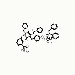 NC(=O)c1cccc(CN2C(=O)N(Cc3ccc(OCP(=O)(O)OC(Cc4ccccc4)c4ccccc4)cc3)C(CCc3ccccc3)=C(O)C2Cc2ccccc2)c1